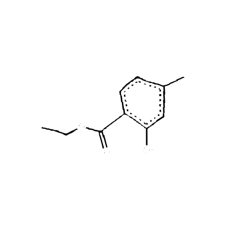 CCOC(=O)c1ccc(I)cc1O